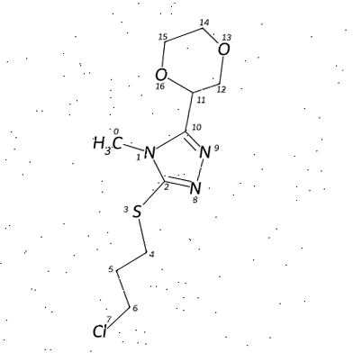 Cn1c(SCCCCl)nnc1C1COCCO1